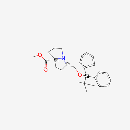 COC(=O)[C@]12CCCN1[C@H](CO[Si](c1ccccc1)(c1ccccc1)C(C)(C)C)CC2